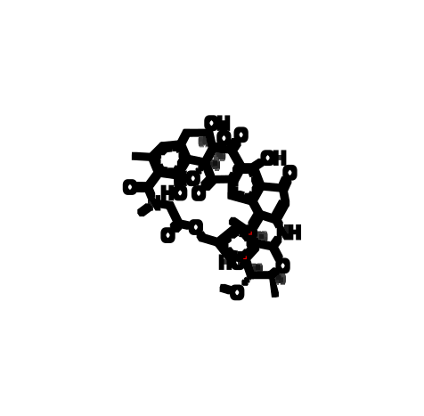 CO[C@@H]1[C@@H](O)[C@@H](OC)C(NC2=CC(=O)c3c(cc4c(c3O)C(=O)[C@]3(OC)[C@H](O)Cc5cc(C)c(C(=O)N(C)CC(=O)OCc6ccccc6)c(O)c5[C@]3(O)C4=O)C2=O)O[C@H]1C